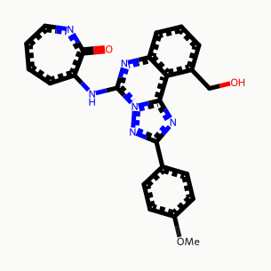 COc1ccc(-c2nc3c4c(CO)cccc4nc(Nc4ccccnc4=O)n3n2)cc1